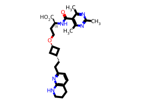 Cc1nc(C)c(C(=O)N[C@@H](CCO[C@H]2C[C@@H](CCc3ccc4c(n3)NCCC4)C2)C(=O)O)c(C)n1